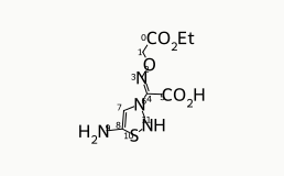 CCOC(=O)CON=C(C(=O)O)N1C=C(N)SN1